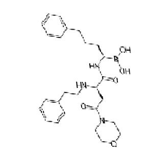 O=C(N[C@@H](CCCc1ccccc1)B(O)O)[C@@H](CC(=O)N1CCOCC1)NCCc1ccccc1